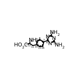 Nc1nc(N)nc(-c2ccc(CC(N)C(=O)O)cc2)n1